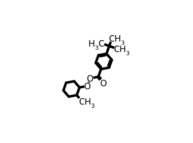 CC1CCCC[C]1OOC(=O)c1ccc(C(C)(C)C)cc1